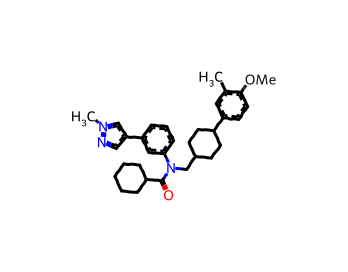 COc1ccc(C2CCC(CN(C(=O)C3CCCCC3)c3cccc(-c4cnn(C)c4)c3)CC2)cc1C